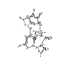 O=C(N1N=CCC1c1cc(F)cc(F)c1)C12CC(Cn3ncc4c3CCC4)C(C1)C2